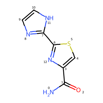 NC(=O)c1csc(-c2ncc[nH]2)n1